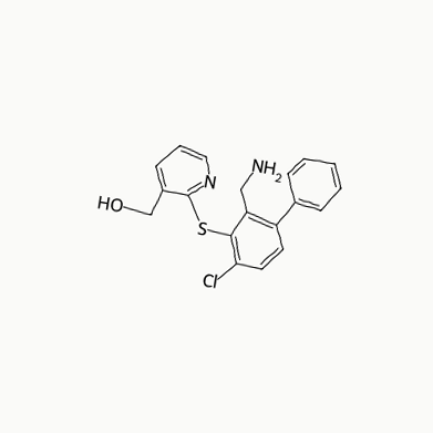 NCc1c(-c2ccccc2)ccc(Cl)c1Sc1ncccc1CO